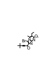 CCc1c(OC)nc2nc(C(=O)C#CC(C)(C)C)c(Br)n2c1C